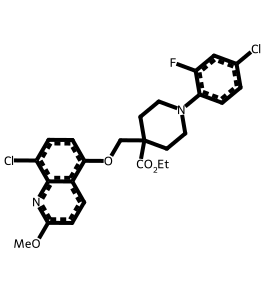 CCOC(=O)C1(COc2ccc(Cl)c3nc(OC)ccc23)CCN(c2ccc(Cl)cc2F)CC1